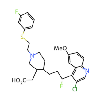 COc1ccc2ncc(Cl)c([C@H](F)CCC3CCN(CCSc4cccc(F)c4)CC3CC(=O)O)c2c1